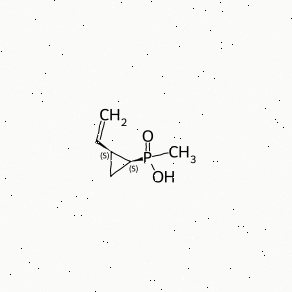 C=C[C@@H]1C[C@@H]1P(C)(=O)O